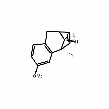 COc1ccc2c(c1)[C@]1(C)C=CC(C2)[C@@H]1N